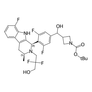 C[C@H]1Cc2c([nH]c3c(F)cccc23)[C@@H](c2c(F)cc(C(O)C3CN(C(=O)OC(C)(C)C)C3)cc2F)N1CC(F)(F)CO